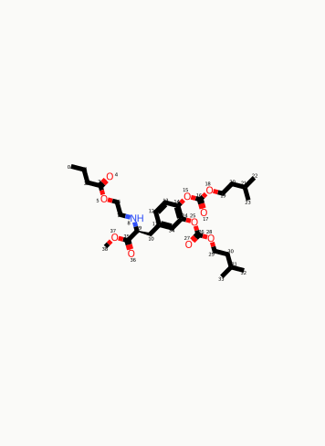 CCCC(=O)OCCN[C@@H](Cc1ccc(OC(=O)OCCC(C)C)c(OC(=O)OCCC(C)C)c1)C(=O)OC